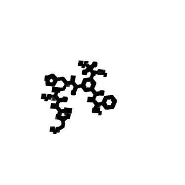 CCc1n[nH]c(NC(=O)[C@H](C)NC[C@H](Cc2ccsc2)NC(=O)c2cc(C(=O)N[C@H](C)c3ccccc3)cc(N(C)S(C)(=O)=O)c2)n1